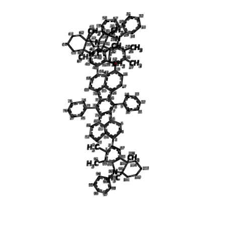 Cc1c(-c2ccc3c4c(-c5ccccc5)c5c6ccc(-c7cc8c(c(C)c7C)N(c7ccccc7)C7(C)CCCCC87C)c7c(-c8cc9c(c(C)c8C)N(c8ccccc8)C8(C)CCCCC98C)ccc(c5c(-c5ccccc5)c4c4cccc2c43)c76)cc2c(c1C)N(c1ccccc1)C1(C)CCCCC21C